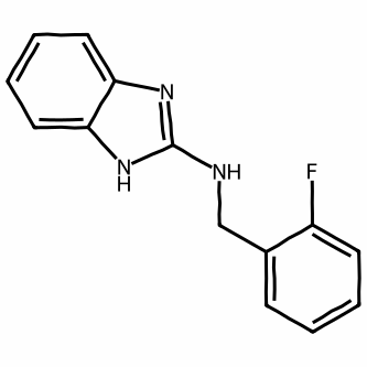 Fc1ccccc1CNc1nc2ccccc2[nH]1